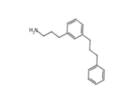 NCCCc1cccc(CCCc2ccccc2)c1